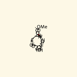 COC(=O)[C@H](C)Cc1cccc([C@@]2(C)CCCC(C)(C)CS(=O)(=O)/C=C/c3c(c(F)c(F)c4[nH]ccc34)Sc3ccnc(c3)-c3nc2nn3C)c1